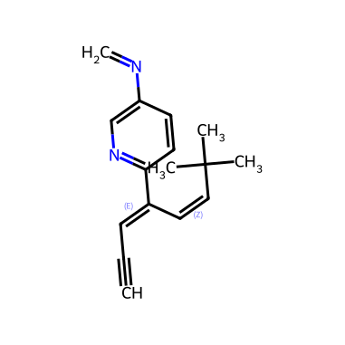 C#C/C=C(\C=C/C(C)(C)C)c1ccc(N=C)cn1